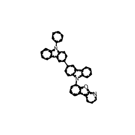 c1ccc(-n2c3ccccc3c3cc(-c4ccc5c(c4)c4ccccc4n5-c4cccc5c4oc4ncccc45)ccc32)cc1